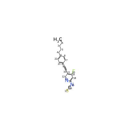 CCCCCc1ccc(C#Cc2cnc(N=C=S)cc2F)cc1